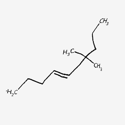 [CH2]CC/C=C/C(C)(C)CCC